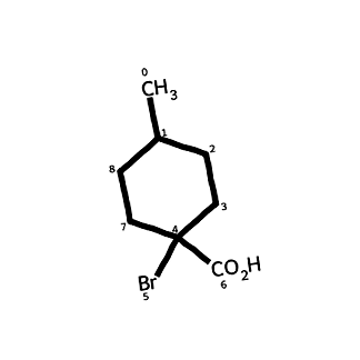 CC1CCC(Br)(C(=O)O)CC1